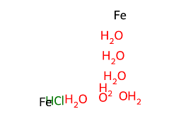 Cl.O.O.O.O.O.O.[Fe].[Fe]